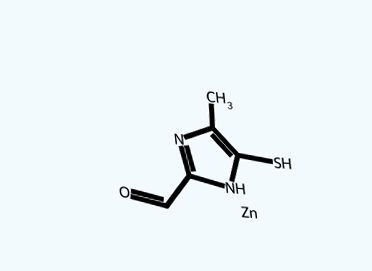 Cc1nc(C=O)[nH]c1S.[Zn]